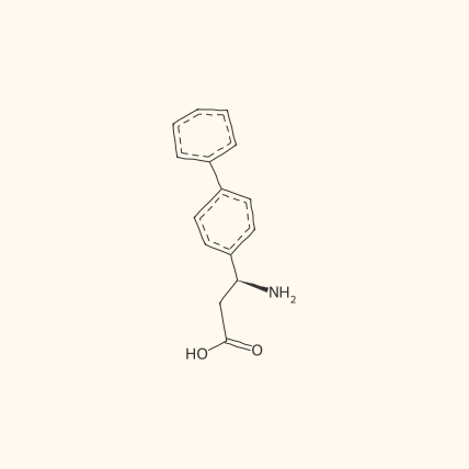 N[C@@H](CC(=O)O)c1ccc(-c2ccccc2)cc1